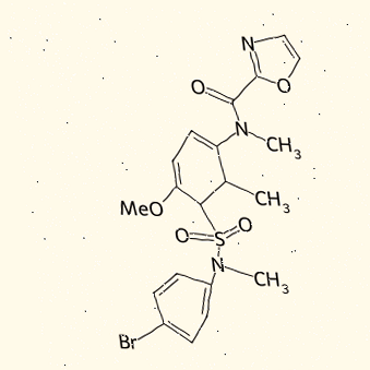 COC1=CC=C(N(C)C(=O)c2ncco2)C(C)C1S(=O)(=O)N(C)c1ccc(Br)cc1